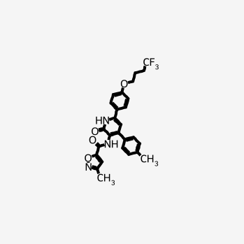 Cc1ccc(-c2cc(-c3ccc(OCCCC(F)(F)F)cc3)[nH]c(=O)c2NC(=O)c2cc(C)no2)cc1